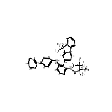 CC1(C)c2ccccc2-c2ccc(-c3c(Nc4ccc(-c5ccccc5)cc4)cccc3B3OC(C)(C)C(C)(C)O3)cc21